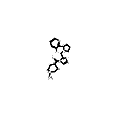 Cc1cccnc1C1CCCN1Cc1nccn1C(=O)C1CCN(C)CC1